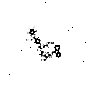 CC(C)C[C@@H](NC(=O)OCC1c2ccccc2-c2ccccc21)C(=O)N[C@@H](C)C(=O)N[C@@H](CCC(=O)OC(C)(C)C)C(=O)Nc1ccc(C(OC=O)Oc2c(F)c(F)c(F)c(F)c2F)cc1